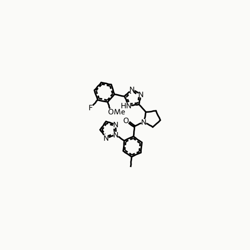 COc1c(F)cccc1-c1nnc(C2CCCN2C(=O)c2ccc(C)cc2-n2nccn2)[nH]1